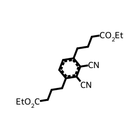 CCOC(=O)CCCc1ccc(CCCC(=O)OCC)c(C#N)c1C#N